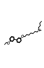 CCCCN(C)CCCCCCCOc1cccc(-c2cccc(OCC)c2)c1